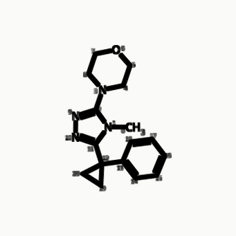 Cn1c(N2CCOCC2)nnc1C1(c2ccccc2)CC1